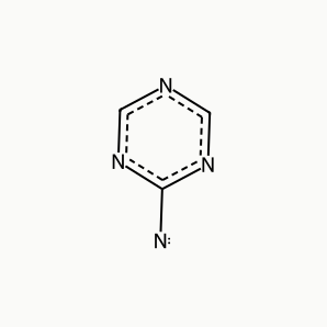 [N]c1ncncn1